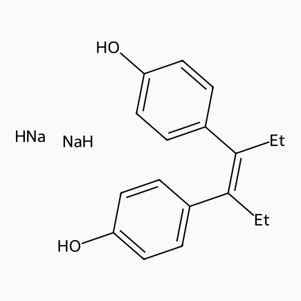 CCC(=C(CC)c1ccc(O)cc1)c1ccc(O)cc1.[NaH].[NaH]